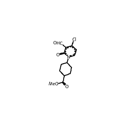 COC(=O)C1CCC(n2ccc(Cl)c(C=O)c2=O)CC1